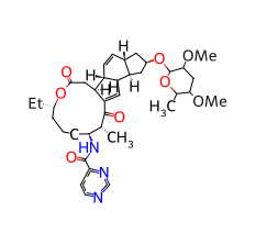 CC[C@H]1CCC[C@H](NC(=O)c2ccncn2)[C@@H](C)C(=O)C2=C[C@@H]3[C@@H](C=C[C@@H]4C[C@@H](OC5OC(C)C(OC)CC5OC)C[C@@H]34)[C@@H]2CC(=O)O1